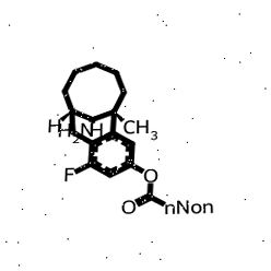 CCCCCCCCCC(=O)Oc1cc(F)c2c(c1)[C@@]1(C)CCCCC[C@@H](C2)[C@@H]1N